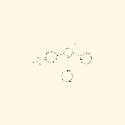 Cn1nc(-c2ccc(S(C)(=O)=O)cn2)cc1-c1ccccn1.Fc1ccccc1